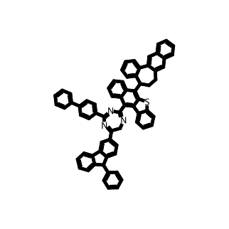 c1ccc(-c2ccc(C3=NC(c4c5ccccc5c(C5CCc6cc7ccccc7cc6-c6ccccc65)c5sc6ccccc6c45)=NCC(c4ccc5c(c4)-c4ccccc4C5c4ccccc4)=N3)cc2)cc1